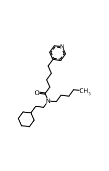 CCCCCN(CCC1CCCCC1)C(=O)CCCCc1ccncc1